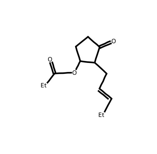 CCC=CCC1C(=O)CCC1OC(=O)CC